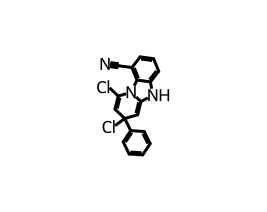 N#Cc1cccc2c1N1C(Cl)=CC(Cl)(c3ccccc3)C=C1N2